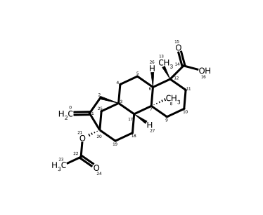 C=C1C[C@@]23CC[C@H]4[C@@](C)(CCC[C@@]4(C)C(=O)O)[C@@H]2CC[C@]1(OC(C)=O)C3